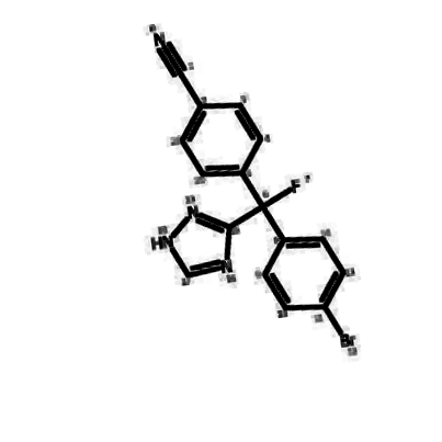 N#Cc1ccc(C(F)(c2ccc(Br)cc2)c2nc[nH]n2)cc1